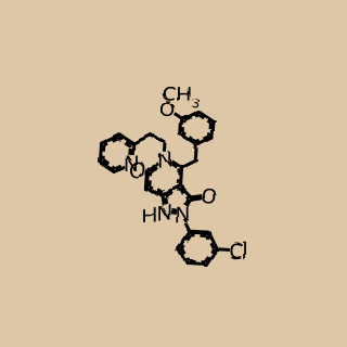 COc1cccc(Cc2c3c(=O)n(-c4cccc(Cl)c4)[nH]c3cc(=O)n2CCc2ccccn2)c1